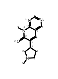 CN1CCC(c2cc3cncnc3n(C)c2=O)C1